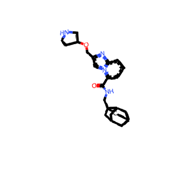 O=C(NCC12CC3CC(CC1C3)C2)c1cccc2nc(COC3CCNC3)cn12